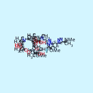 CC[C@H]1OC(=O)[C@H](C)C([C@H]2C[C@@](C)(OC)[C@@H](O)[C@H](C)O2)[C@H](C)[C@@H](O[C@@H]2O[C@H](C)C[C@H](N(C)CCc3cn([C@H](CF)[C@H](OC)c4ccc(-n5cc(C(C)NC)nn5)cc4)nn3)[C@H]2O)[C@](C)(O)C[C@@H](C)CN(C)[C@H](C)[C@@H](O)[C@]1(C)O